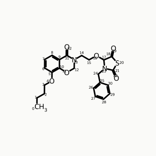 CCCCOc1cccc2c1OCN(CCOC1C(=O)SC(=O)N1Cc1ccccc1)C2=O